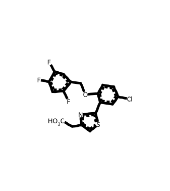 O=C(O)Cc1csc(-c2cc(Cl)ccc2OCc2cc(F)c(F)cc2F)n1